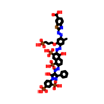 Cc1cc(N=Nc2c(S(=O)(=O)O)cc3c(S(=O)(=O)O)c(N=Nc4c(-c5ccccc5)nn(-c5ccc(S(=O)(=O)O)cc5S(=O)(=O)O)c4O)ccc3c2O)c(OCCCS(=O)(=O)O)cc1N=Nc1nc2ccc(C(=O)O)cc2s1